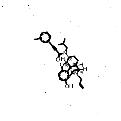 C=CCN1CC[C@@]23c4c5ccc(O)c4C[C@@H]1[C@@H]2CC[C@@H](N(CC(C)C)C(=O)C#Cc1cccc(C)c1)[C@@H]3O5